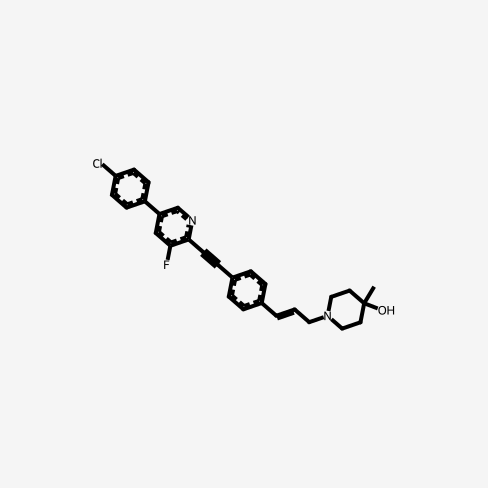 CC1(O)CCN(CC=Cc2ccc(C#Cc3ncc(-c4ccc(Cl)cc4)cc3F)cc2)CC1